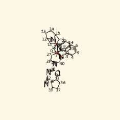 Cc1nc2ccccc2n1C1CC2CCC(C1)N2CCC1(c2ccccc2)CCN(/C(=N/C#N)OC2CCCC2)CC1